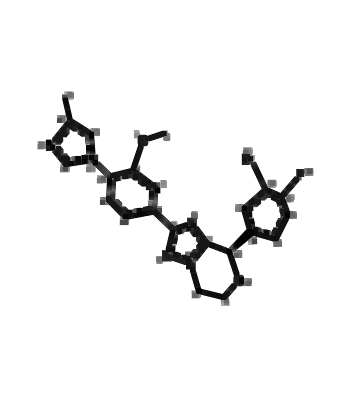 COc1nc(-c2nc3n(n2)CCO[C@@H]3c2ccc(F)c(Br)c2)ccc1-n1cnc(C)c1